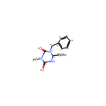 CNC1NC(=O)N(C(C)C)C(=O)N1Cc1ccccc1